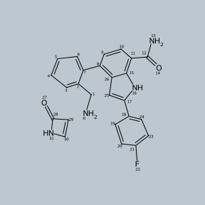 NCc1ccccc1-c1ccc(C(N)=O)c2[nH]c(-c3ccc(F)cc3)cc12.O=C1C=CN1